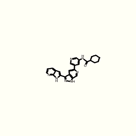 O=C(Nc1cncc(-c2cc3c(-c4cc5cccnc5[nH]4)n[nH]c3cn2)c1)C1CCCCC1